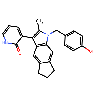 Cc1c(-c2ccc[nH]c2=O)c2cc3c(cc2n1Cc1ccc(O)cc1)CCC3